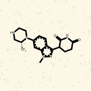 Cn1nc(C2CCC(=O)NC2=O)c2ccc(N3CCNC[C@H]3C(F)(F)F)cc21